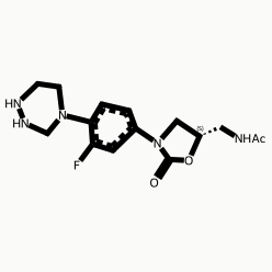 CC(=O)NC[C@H]1CN(c2ccc(N3CCNNC3)c(F)c2)C(=O)O1